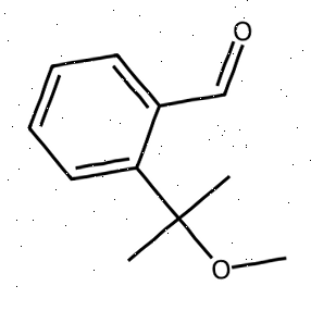 COC(C)(C)c1ccccc1C=O